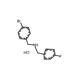 Cl.Fc1ccc(CNCc2ccc(Br)cc2)cc1